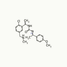 C=C(NC(=O)/N=C(\C)c1ccc(OC)cc1)c1cc(CNC)ccc1Cl